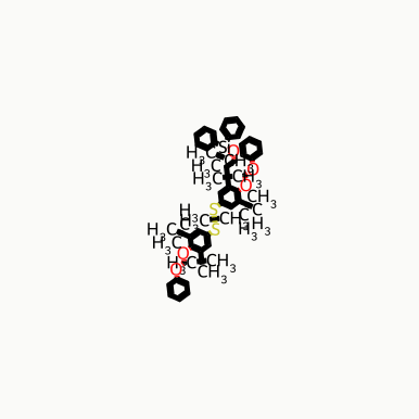 CC(C)(Sc1cc(C(C)(C)C)c(OCOc2ccccc2)c(C(C)(C)C)c1)Sc1cc(C(C)(C)C)c(OCOc2ccccc2)c(C(C)(C)CCO[Si](c2ccccc2)(c2ccccc2)C(C)(C)C)c1